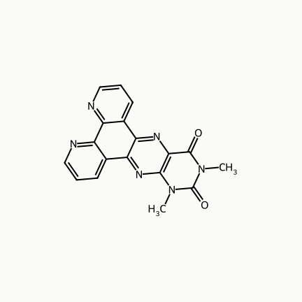 Cn1c(=O)c2nc3c4cccnc4c4ncccc4c3nc2n(C)c1=O